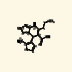 CCCC1=C(C(=O)O)C(c2ccsc2C)c2c[nH]nc2N1